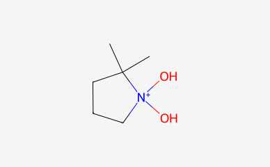 CC1(C)CCC[N+]1(O)O